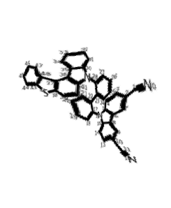 N#Cc1ccc2c(c1)c1cc(C#N)ccc1n2-c1ccccc1-c1ccccc1-n1c2ccccc2c2c3c(ccc21)sc1ccccc13